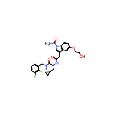 NC(=O)n1cc(CC(=O)N[C@@H](CC2CC2)C(=O)NCc2cccc(Cl)c2F)c2cc(OCCO)ccc21